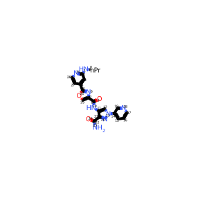 CCCNc1cc(-c2nc(C(=O)Nc3cn(-c4cccnc4)nc3C(N)=O)co2)ccn1